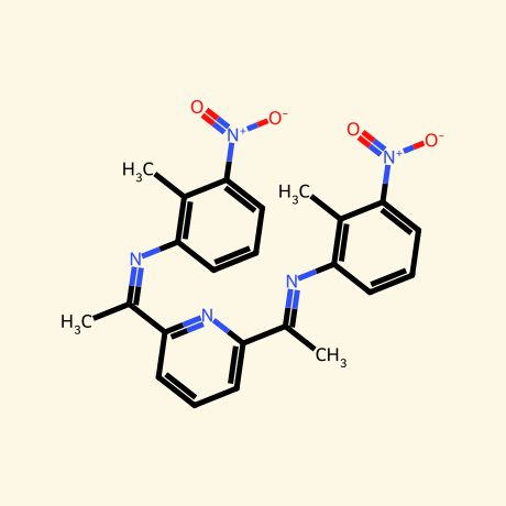 CC(=Nc1cccc([N+](=O)[O-])c1C)c1cccc(C(C)=Nc2cccc([N+](=O)[O-])c2C)n1